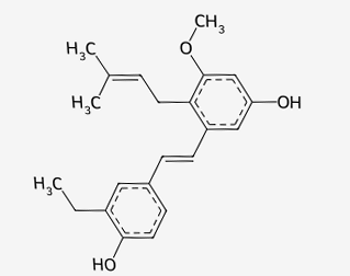 CCc1cc(/C=C/c2cc(O)cc(OC)c2CC=C(C)C)ccc1O